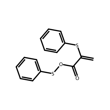 C=C(Sc1ccccc1)C(=O)OSc1ccccc1